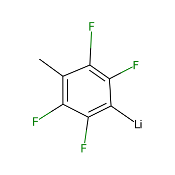 [Li][c]1c(F)c(F)c(C)c(F)c1F